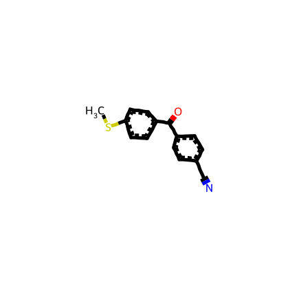 CSc1ccc(C(=O)c2ccc(C#N)cc2)cc1